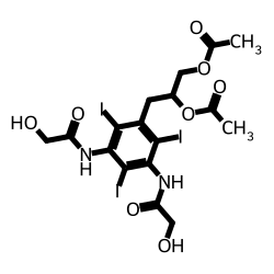 CC(=O)OCC(Cc1c(I)c(NC(=O)CO)c(I)c(NC(=O)CO)c1I)OC(C)=O